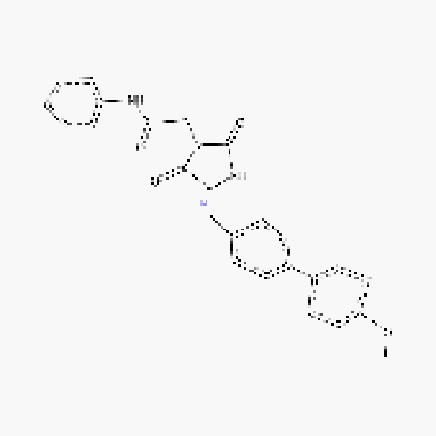 COc1ccc(-c2ccc(/C=C3\NC(=O)N(CC(=O)Nc4ccccc4)C3=O)cc2)cc1